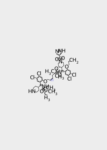 C=CCOc1cc(Cl)c(Cl)cc1[C@H](N[S@@+]([O-])C(C)(C)C/C=C\COc1cc(Cl)c(Cl)cc1[C@H](N[S@@+]([O-])C(C)(C)C)C1CCNCC1)C1CCN(S(=O)(=O)c2cn[nH]c2)CC1